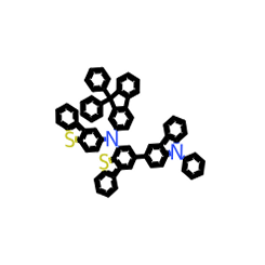 c1ccc(-n2c3ccccc3c3cc(-c4cc(N(c5ccc6c(c5)C(c5ccccc5)(c5ccccc5)c5ccccc5-6)c5ccc6sc7ccccc7c6c5)c5sc6ccccc6c5c4)ccc32)cc1